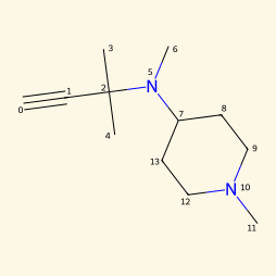 C#CC(C)(C)N(C)C1CCN(C)CC1